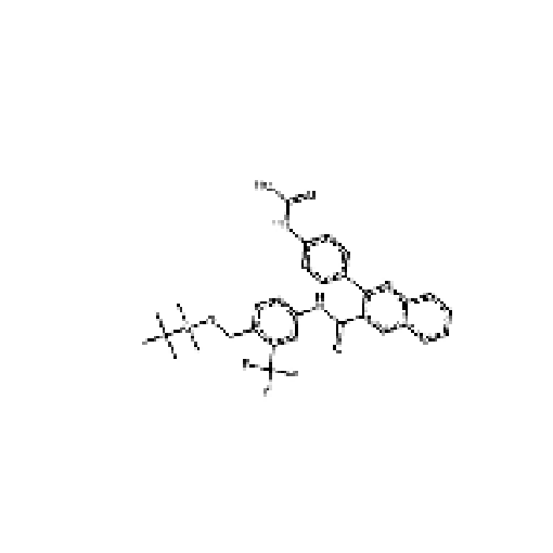 CC(C)(C)[Si](C)(C)OCc1ccc(NC(=O)c2cc3ccccc3nc2-c2ccc(NC(=O)O)cc2)cc1C(F)(F)F